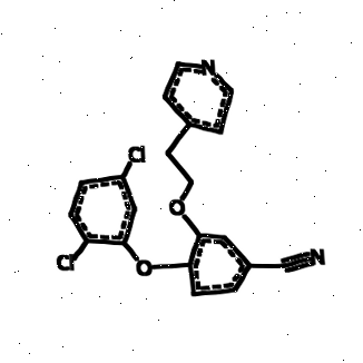 N#Cc1ccc(Oc2cc(Cl)ccc2Cl)c(OCCc2ccncc2)c1